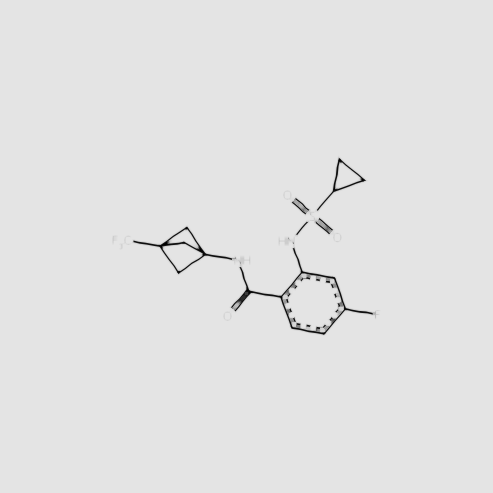 O=C(NC12CC(C(F)(F)F)(C1)C2)c1ccc(F)cc1NS(=O)(=O)C1CC1